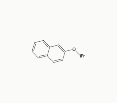 CC(C)Oc1[c]c2ccccc2cc1